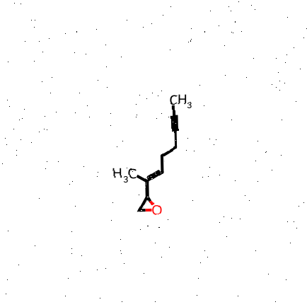 CC#CCC/C=C(\C)C1CO1